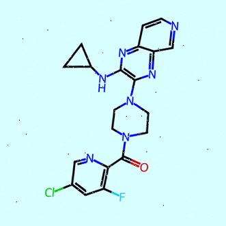 O=C(c1ncc(Cl)cc1F)N1CCN(c2nc3cnccc3nc2NC2CC2)CC1